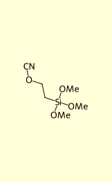 CO[Si](CCOC#N)(OC)OC